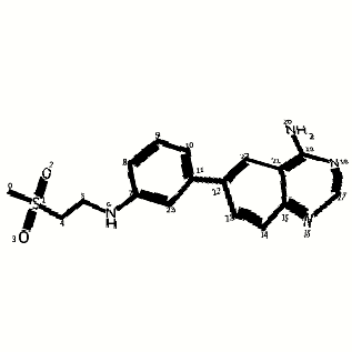 CS(=O)(=O)CCNc1cccc(-c2ccc3ncnc(N)c3c2)c1